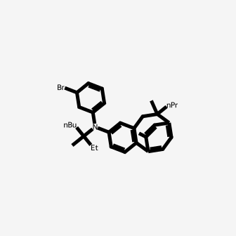 CCCCC(C)(CC)N(C1=CC=CC(Br)C1)c1ccc2c(c1)CC(C)(CCC)c1ccc-2c(C)c1